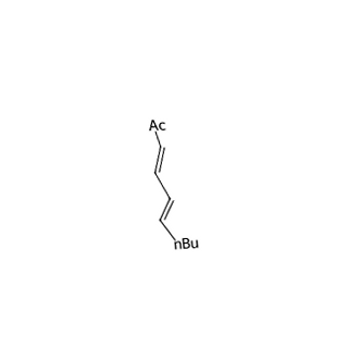 CCCC/C=C/C=C/C(C)=O